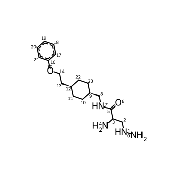 NNCC(N)C(=O)NC[C@H]1CC[C@@H](CCOc2ccccc2)CC1